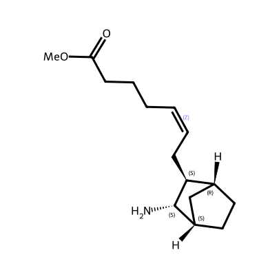 COC(=O)CCC/C=C\C[C@H]1[C@@H]2CC[C@@H](C2)[C@@H]1N